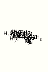 COc1ccc(CN(c2nccs2)S(=O)(=O)c2cc(Cl)c(NCCC[C@H](C)N(C[C@@H]3CCCN3C(=O)OC(C)(C)C)C(=O)OC(C)(C)C)cc2F)c(OC)c1